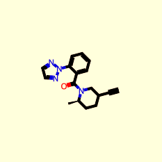 C#CC1CC[C@@H](C)N(C(=O)c2ccccc2-n2nccn2)C1